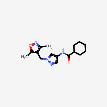 Cc1noc(C)c1Cn1cc(NC(=O)C2CCCCC2)cn1